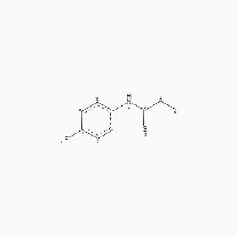 CCC(=S)Nc1ccc(F)cc1